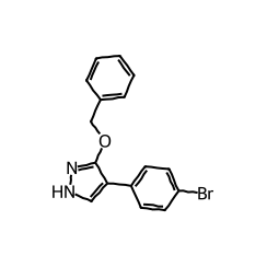 Brc1ccc(-c2c[nH]nc2OCc2ccccc2)cc1